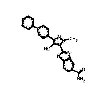 Cn1nc(-c2ccc(-c3ccccc3)cc2)c(O)c1-c1nc2ccc(C(N)=O)cc2[nH]1